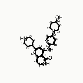 O=c1[nH]ccc2nc(C3CCNCC3)cc(Nc3ccc(N4CCC(O)CC4)cn3)c12